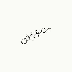 Cc1c([C@H](C)NC(=O)NC2CC[S+]([O-])C2)oc2ccccc12